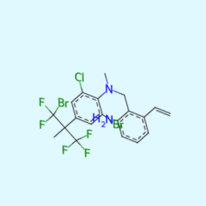 C=Cc1cccc(N)c1CN(C)c1c(Cl)cc(C(C)(C(F)(F)F)C(F)(F)Br)cc1Br